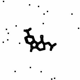 CN(C)CC1CCc2c(c3cc(N(C)C)ccc3n2C)C1=O